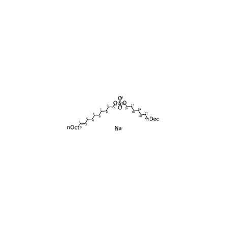 CCCCCCCCC=CCCCCCCCCOS(=O)(=O)OCCCCCCCCCCCCCCCC.[Na]